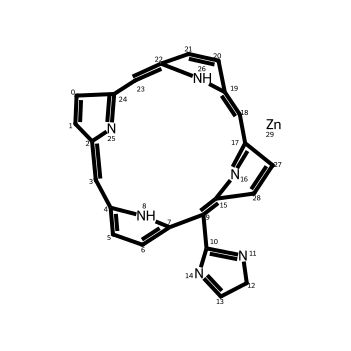 C1=Cc2cc3ccc([nH]3)c(C3=NCC=N3)c3nc(cc4ccc(cc1n2)[nH]4)C=C3.[Zn]